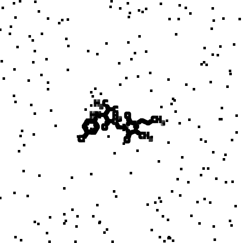 CCCN1C(=O)N(COC(=O)C(Nc2ccc(Cl)cc2)C(C)C)C(=O)C1C